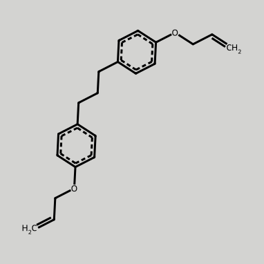 C=CCOc1ccc(CCCc2ccc(OCC=C)cc2)cc1